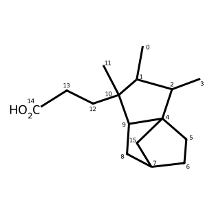 CC1C(C)C23CCC(CC2C1(C)CCC(=O)O)C3